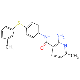 Cc1cccc(Sc2ccc(NC(=O)c3ccc(C)nc3N)cc2)c1